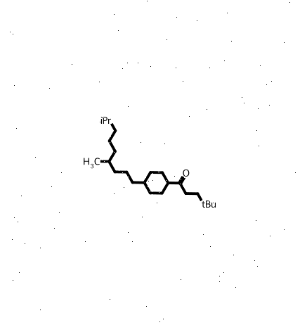 CC(C)CCCC(C)CCCC1CCC(C(=O)CCC(C)(C)C)CC1